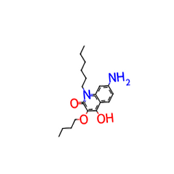 CCCCCCn1c(=O)c(OCCCC)c(O)c2ccc(N)cc21